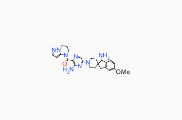 COc1ccc2c(c1)CC1(CCN(c3cnc(C(=O)N4CCCn5nccc54)c(N)n3)CC1)[C@@H]2N